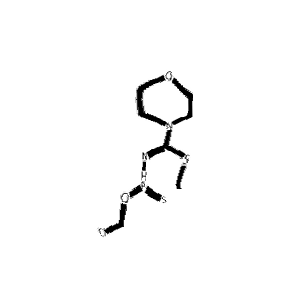 CSC(=N[PH](=S)OCCl)N1CCOCC1